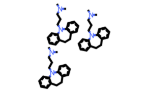 CN(C)CCCN1c2ccccc2CCc2ccccc21.CN(C)CCCN1c2ccccc2CCc2ccccc21.CN(C)CCCN1c2ccccc2CCc2ccccc21